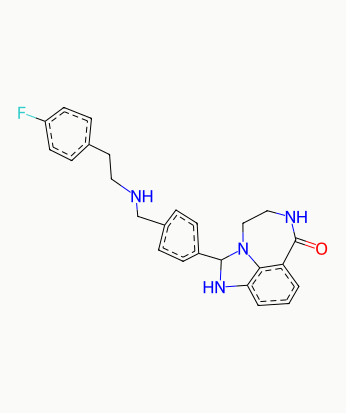 O=C1NCCN2c3c(cccc31)NC2c1ccc(CNCCc2ccc(F)cc2)cc1